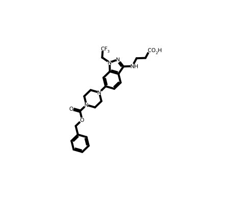 O=C(O)CCNc1nn(CC(F)(F)F)c2cc(N3CCN(C(=O)OCc4ccccc4)CC3)ccc12